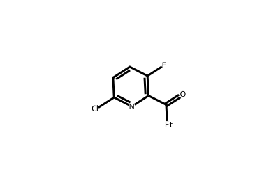 CCC(=O)c1nc(Cl)ccc1F